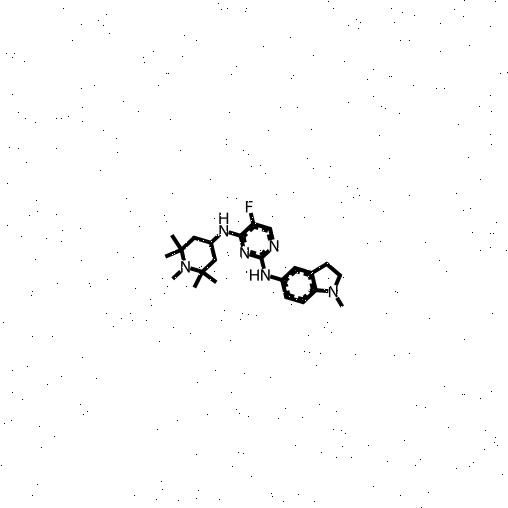 CN1CCc2cc(Nc3ncc(F)c(NC4CC(C)(C)N(C)C(C)(C)C4)n3)ccc21